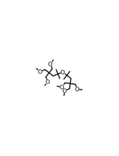 COCC(COC)(COC)CC(C)(C)OC(C)(C)CC(COC)(COC)COC